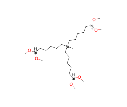 CO[SiH](CCCCC[Si](C)(CCCCC[SiH](OC)OC)CCCCC[SiH](OC)OC)OC